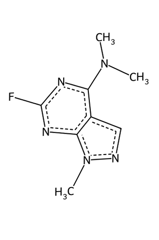 CN(C)c1nc(F)nc2c1cnn2C